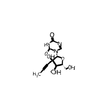 CC#CC1(O)C(O)[C@@H](CO)O[C@H]1n1cnc(=O)[nH]c1=O